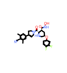 Cc1cc(C2=CCN(C(=O)[C@H]3NC[C@@H](Oc4ccc(F)c(F)c4)C[C@@H]3C(=O)NO)CC2)cc(C)c1C#N